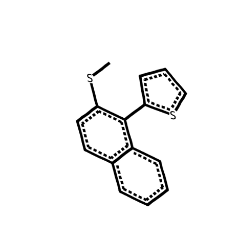 CSc1ccc2ccccc2c1-c1cccs1